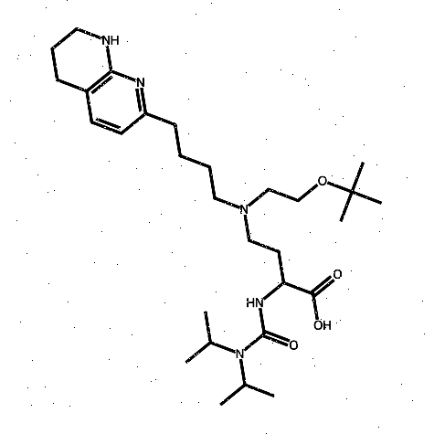 CC(C)N(C(=O)NC(CCN(CCCCc1ccc2c(n1)NCCC2)CCOC(C)(C)C)C(=O)O)C(C)C